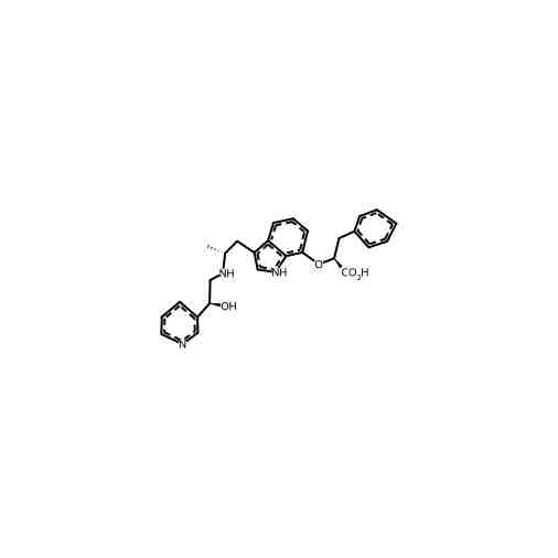 C[C@H](Cc1c[nH]c2c(O[C@@H](Cc3ccccc3)C(=O)O)cccc12)NC[C@@H](O)c1cccnc1